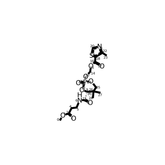 COC(=O)CCNC(=O)[C@@H]1O[P@](=O)(OCOC(=O)c2scnc2C)OCC1(C)C